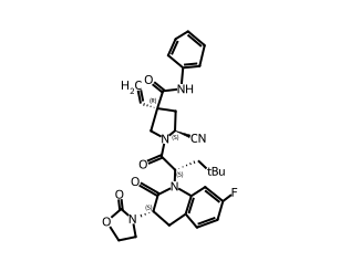 C=C[C@]1(C(=O)Nc2ccccc2)C[C@@H](C#N)N(C(=O)[C@H](CC(C)(C)C)N2C(=O)[C@@H](N3CCOC3=O)Cc3ccc(F)cc32)C1